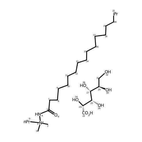 CCC[N+](C)(C)NC(=O)CCCCCCCCCCCCCCC(C)C.O=C(O)[C@H](O)[C@@H](O)[C@H](O)[C@H](O)CO